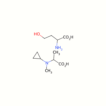 CC(C(=O)O)N(C)C1CC1.NC(CCO)C(=O)O